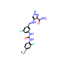 NC(=O)c1n[nH]cc1NCc1cc(F)cc(NC(=O)Nc2ccc(C(F)(F)F)cc2F)c1